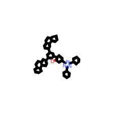 c1ccc(-c2nc(-c3ccccc3)nc(-c3ccc4c(c3)oc3c(-c5ccc6c(ccc7ccccc76)c5)cc(-c5ccc6ccc7ccccc7c6c5)cc34)n2)cc1